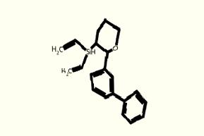 C=C[SiH](C=C)C1CCCOC1c1cccc(-c2ccccc2)c1